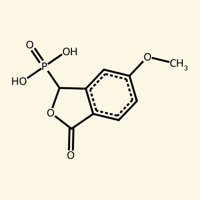 COc1ccc2c(c1)C(P(=O)(O)O)OC2=O